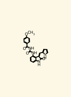 COc1ccc(C(=O)NC(=O)Nc2cccc3c2C(=Cc2ccc[nH]2)C(=O)N3)cc1